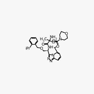 CC(C)c1ccccc1COC[C@@H](NC(=O)C(C)(C)N)c1nnc2cccc(COC(=O)N3CCOCC3)n12